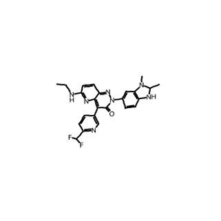 CCNc1ccc2nn(-c3ccc4c(c3)N(C)C(C)N4)c(=O)c(-c3ccc(C(F)F)nc3)c2n1